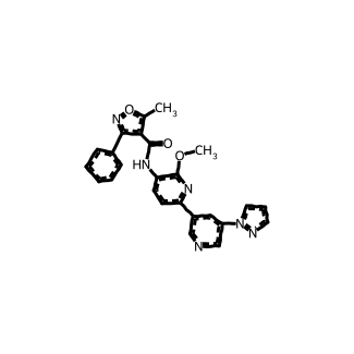 COc1nc(-c2cncc(-n3cccn3)c2)ccc1NC(=O)c1c(-c2ccccc2)noc1C